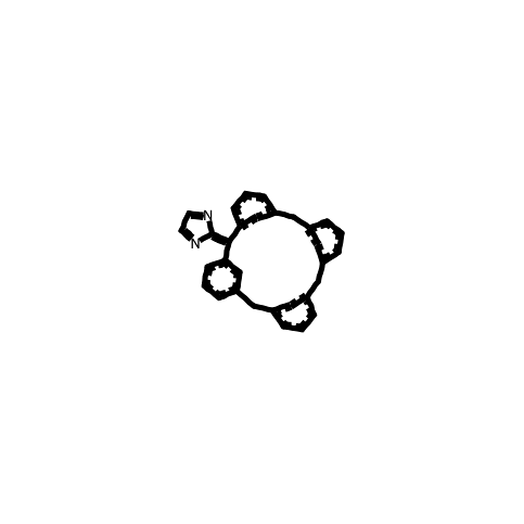 C1=NC(=C2c3cccc(c3)Cc3cccc(c3)Cc3cccc(c3)Cc3cccc2c3)N=C1